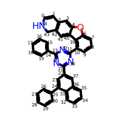 C1=Cc2cc3oc4cccc(-c5nc(-c6ccccc6)nc(-c6cc(-c7ccccc7)c7ccccc7c6)n5)c4c3cc2CN1